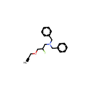 C#CCOCC(F)CN(Cc1ccccc1)Cc1ccccc1